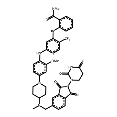 CNC(=O)c1ccccc1Nc1cc(Nc2ccc(N3CCC(N(C)Cc4ccc5c(c4)C(=O)N(N4CCC(=O)NC4=O)C5=O)CC3)cc2OC)ncc1C(F)(F)F